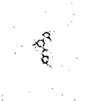 Cc1ccc(OC(=O)N2C[C@H](N3CCCC3=O)CC(F)(F)C2)cn1